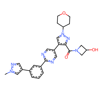 Cn1cc(-c2cccc(-c3ncc(-c4cn(C5CCOCC5)nc4C(=O)N4CC(O)C4)cn3)c2)cn1